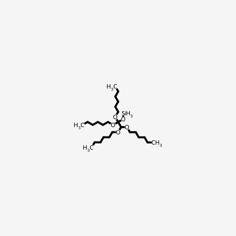 CCCCCCOC(OCCCCCC)C(O[SiH3])(OCCCCCC)OCCCCCC